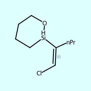 CCC/C(=C/Cl)[SiH]1CCCCO1